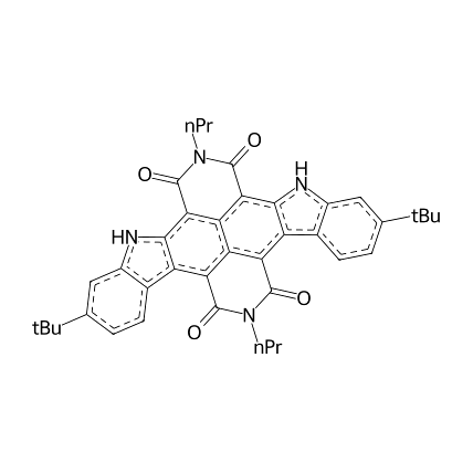 CCCN1C(=O)c2c3[nH]c4cc(C(C)(C)C)ccc4c3c3c4c(c5c([nH]c6cc(C(C)(C)C)ccc65)c(c24)C1=O)C(=O)N(CCC)C3=O